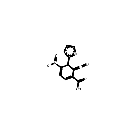 O=C=C1C(C(=O)O)=CC=C([N+](=O)[O-])C1c1ncc[nH]1